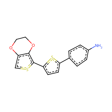 Nc1ccc(-c2ccc(-c3scc4c3OCCO4)s2)cc1